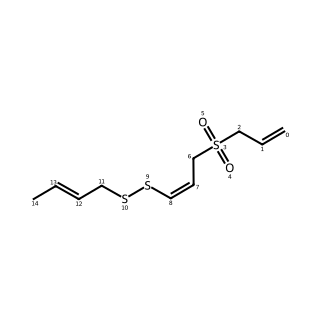 C=CCS(=O)(=O)C/C=C\SSC/C=C/C